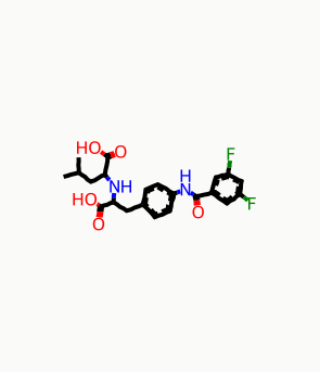 CC(C)CC(NC(Cc1ccc(NC(=O)c2cc(F)cc(F)c2)cc1)C(=O)O)C(=O)O